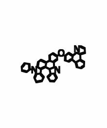 c1ccc(-n2c3ccccc3c3c4c(ccc32)-c2ccc(Oc3ccc5c6ccccc6c6cccnc6c5c3)cc2C2=Nc3ccccc3C24)cc1